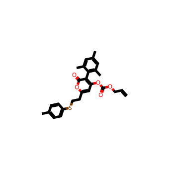 C=CCOC(=O)Oc1cc(CCSc2ccc(C)cc2)oc(=O)c1-c1c(C)cc(C)cc1C